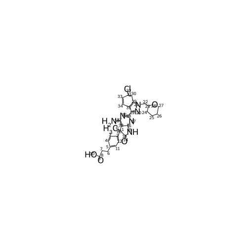 C[C@]1(c2ccc(CCC(=O)O)cc2)C(=O)Nc2nc(-c3nn(CC4CCCCO4)c4cc(Cl)ccc34)nc(N)c21